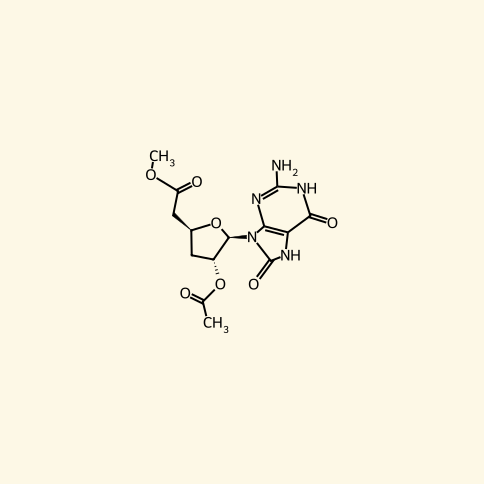 COC(=O)C[C@@H]1C[C@@H](OC(C)=O)[C@H](n2c(=O)[nH]c3c(=O)[nH]c(N)nc32)O1